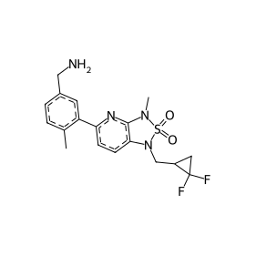 Cc1ccc(CN)cc1-c1ccc2c(n1)N(C)S(=O)(=O)N2CC1CC1(F)F